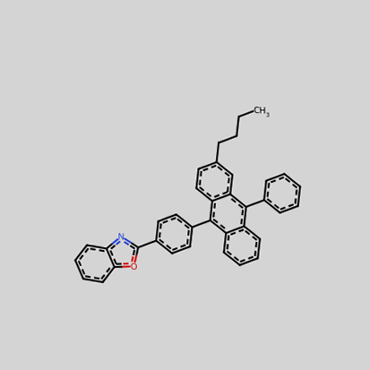 CCCCc1ccc2c(-c3ccc(-c4nc5ccccc5o4)cc3)c3ccccc3c(-c3ccccc3)c2c1